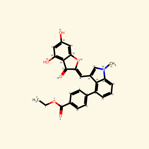 CCOC(=O)c1ccc(-c2cccc3c2c(/C=C2\Oc4cc(O)cc(O)c4C2=O)cn3C)cc1